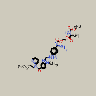 CCOC(=O)CCN(C(=O)c1ccc2c(c1)nc(CNc1ccc(C(N)=NC(=O)OCCOC(=O)C(NC(=O)OC(C)(C)C)C(C)C)cc1)n2C)c1ccccn1